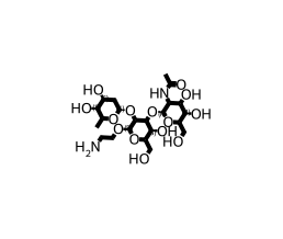 CC(=O)NC1C(O)[C@@H](O)C(CO)O[C@@H]1OC1C(O[C@H]2C[C@H](O)[C@H](O)C(C)O2)[C@H](OCCN)OC(CO)[C@@H]1O